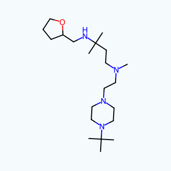 CN(CCN1CCN(C(C)(C)C)CC1)CCC(C)(C)NCC1CCCO1